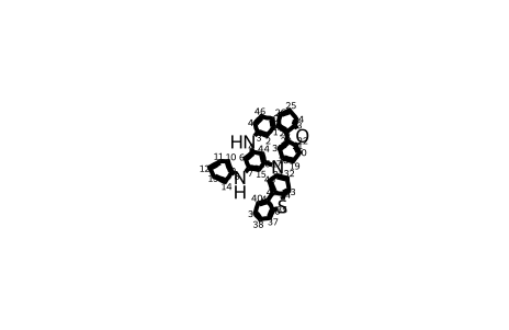 c1ccc(Nc2cc(Nc3ccccc3)cc(N(c3ccc4oc5ccccc5c4c3)c3ccc4sc5ccccc5c4c3)c2)cc1